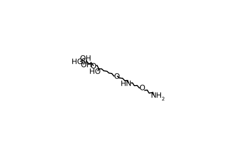 NCCCCOCCCCNCCCCOCCCCCCC(O)COCCC[Si](O)(O)O